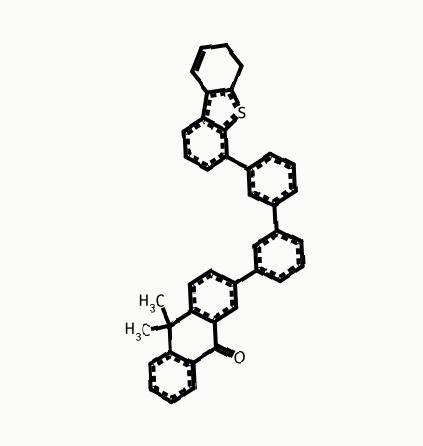 CC1(C)c2ccccc2C(=O)c2cc(-c3cccc(-c4cccc(-c5cccc6c7c(sc56)CCC=C7)c4)c3)ccc21